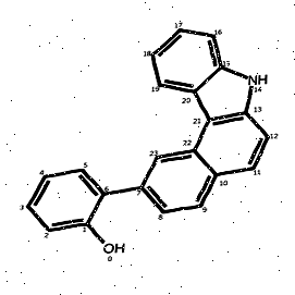 Oc1ccccc1-c1ccc2ccc3[nH]c4ccccc4c3c2c1